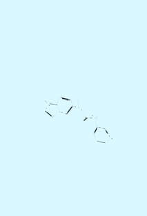 CN1C=CC2C=C(NC(=O)NC3=CCCN=C3)C=CC21